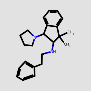 CC1(C)c2ccccc2C(N2CCCC2)C1NCCc1ccccc1